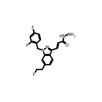 NNC(=O)C=Cc1nn(Cc2ccc(F)cc2F)c2cc(CCF)ccc12